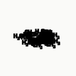 CCC[Si](C)(C)O[Si](C)(C)CC[Si](C)(C)O[Si](C)(C)O[Si](C)(C)O[Si](C)(C)O[Si](C)(C)O[Si](C)(C)O[Si](C)(C)O[Si](C)(C)O[Si](C)(C)O[Si](C)(C)C